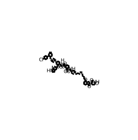 CN(CCCCOc1cccc2c1CN(C1CCC(=O)NC1=O)C2=O)CCCN1CCC(CNc2ccc(S(=O)(=O)NC(=O)c3ccc(N4CCN(CC5=C(c6ccc(Cl)cc6)CC(C)(C)CC5)CC4)cc3Oc3cnc4[nH]ccc4c3)cc2[N+](=O)[O-])CC1